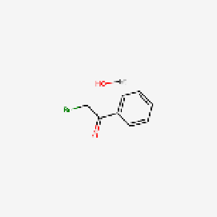 CCO.O=C(CBr)c1ccccc1